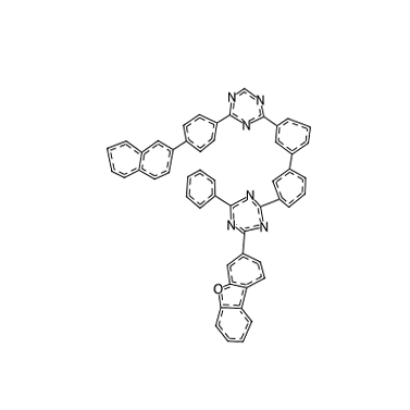 c1ccc(-c2nc(-c3cccc(-c4cccc(-c5ncnc(-c6ccc(-c7ccc8ccccc8c7)cc6)n5)c4)c3)nc(-c3ccc4c(c3)oc3ccccc34)n2)cc1